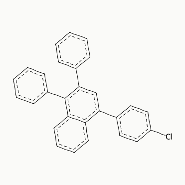 Clc1ccc(-c2cc(-c3ccccc3)c(-c3ccccc3)c3ccccc23)cc1